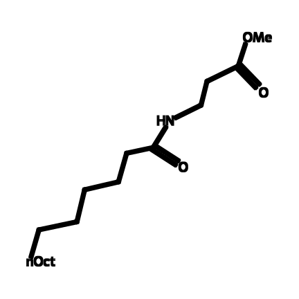 CCCCCCCCCCCCCC(=O)NCCC(=O)OC